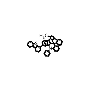 CC1C=CC2=C(C1c1ccc(-c3cccc4c3sc3ccccc34)cc1)C1(c3c#cccc32)c2ccccc2N(c2ccccc2)c2ccccc21